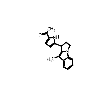 CC(=O)c1ccc(C2CCn3c2c(C)c2ccccc23)[nH]1